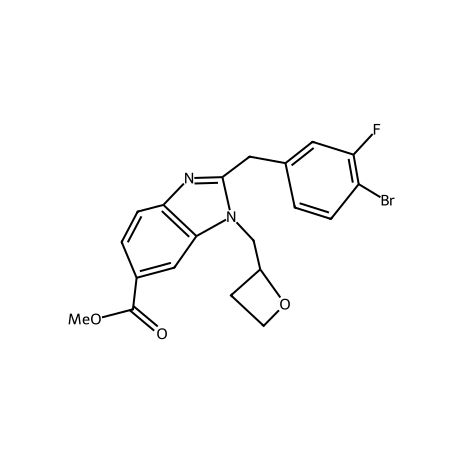 COC(=O)c1ccc2nc(Cc3ccc(Br)c(F)c3)n(CC3CCO3)c2c1